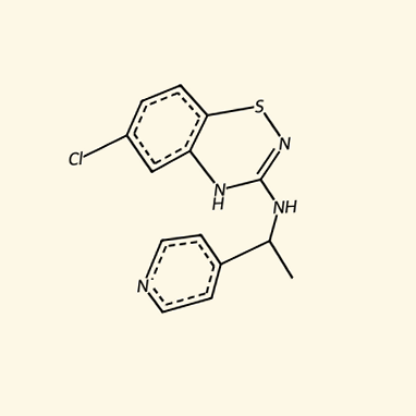 CC(NC1=NSc2ccc(Cl)cc2N1)c1ccncc1